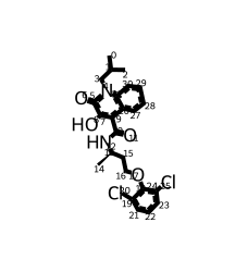 CC(C)Cn1c(=O)c(O)c(C(=O)N[C@H](C)CCOc2c(Cl)cccc2Cl)c2ccccc21